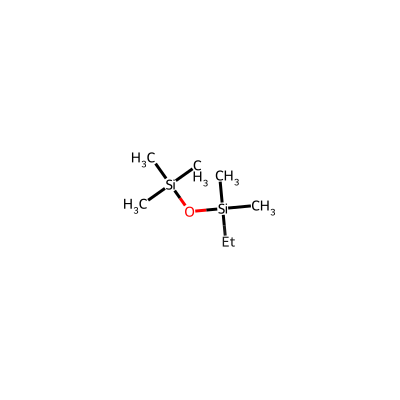 [CH2]C[Si](C)(C)O[Si](C)(C)C